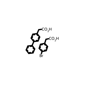 O=C(O)Cc1ccc(-c2ccccc2)cc1.O=C(O)Cc1ccc(Br)cc1